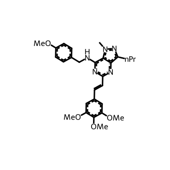 CCCc1nn(C)c2c(NCc3ccc(OC)cc3)nc(/C=C/c3cc(OC)c(OC)c(OC)c3)nc12